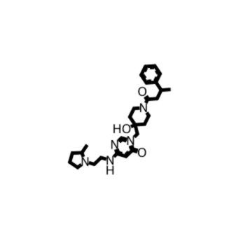 CC(CC(=O)N1CCC(O)(Cn2cnc(NCCN3CCCC3C)cc2=O)CC1)c1ccccc1